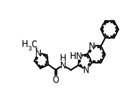 Cn1ccc(C(=O)NCc2nc3ccc(-c4ccccc4)nc3[nH]2)c1